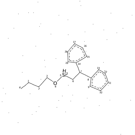 CCCCO[SiH2]CC(c1ccccc1)c1ccccc1